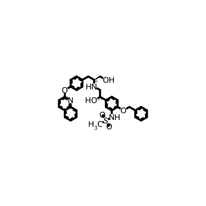 CS(=O)(=O)Nc1cc([C@@H](O)CN[C@H](CO)Cc2ccc(Oc3ccc4ccccc4n3)cc2)ccc1OCc1ccccc1